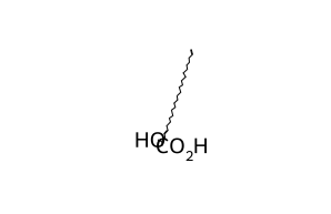 C=CCCCCCCCCCCCCCCCCCCCC=CCC(O)C(=O)O